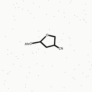 COC1CC(C#N)CO1